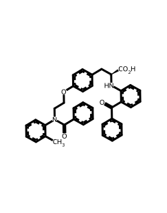 Cc1ccccc1N(CCOc1ccc(C[C@H](Nc2ccccc2C(=O)c2ccccc2)C(=O)O)cc1)C(=O)c1ccccc1